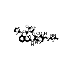 Cc1nnc(SCC2=C(C(=O)O)N3C(=O)C(NC(=O)CC4=C(NC(=O)N5CCNC5=O)C(=NC5SCCS5)CC=C4)[C@@H]3SC2)s1